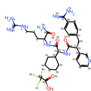 N=C(N)NCCCC(NC(=O)[C@@H](NC(=O)[C@@H](Cc1ccc(C(=N)N)cc1)c1cccnc1)C1CCCCC1)C(N)=O.O=C(O)C(F)(F)F